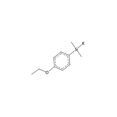 CCOc1ccc([Si](C)(C)[K])cc1